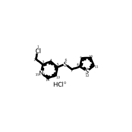 Cl.ClCc1cc(SCc2cccs2)ccn1